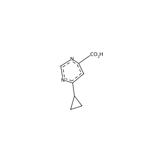 O=C(O)c1cc(C2CC2)n[c]n1